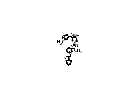 CCC1(NC(=O)N2CCc3[nH]nc(-c4ccnc(C)c4)c3C2)CCCN(Cc2csc3ccccc23)C1